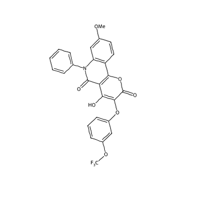 COc1ccc2c3oc(=O)c(Oc4cccc(OC(F)(F)F)c4)c(O)c3c(=O)n(-c3ccccc3)c2c1